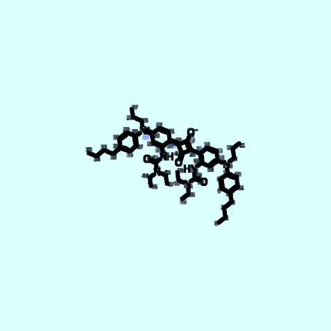 CCCCc1ccc(N(CCC)c2ccc(C3=C([O-])/C(=C4C=C/C(=[N+](\CCC)c5ccc(CCCC)cc5)C=C\4NC(=O)N(CC)CC)C3=O)c(NC(=O)N(CC)CC)c2)cc1